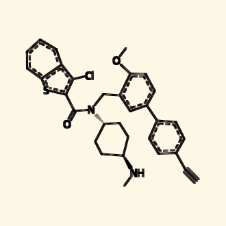 C#Cc1ccc(-c2ccc(OC)c(CN(C(=O)c3sc4ccccc4c3Cl)[C@H]3CC[C@H](NC)CC3)c2)cc1